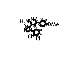 COc1ccc(-c2cnc(N)c(-c3nncn3-c3cccc(Cl)c3Cl)c2)cc1